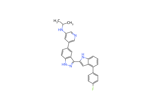 CC(C)Nc1cncc(-c2ccc3[nH]nc(-c4cc5c(-c6ccc(F)cc6)cccc5[nH]4)c3c2)c1